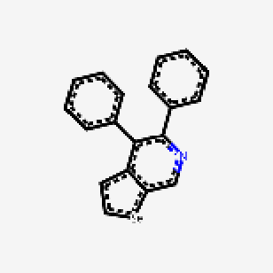 c1ccc(-c2ncc3[se]ccc3c2-c2ccccc2)cc1